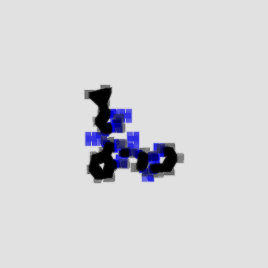 c1ccc2c(Nc3cc(C4CC4)[nH]n3)nc(Nc3cnc4cccnn34)nc2c1